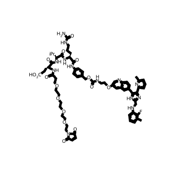 Cc1cccc(-c2nc(CNc3cccc(C)c3F)[nH]c2-c2ccc3ncc(OCCNC(=O)OCc4ccc(NC(=O)[C@H](CCCNC(N)=O)NC(=O)[C@@H](NC(=O)[C@H](CCC(=O)O)NC(=O)CCOCCOCCOCCOCCN5C(=O)C=CC5=O)C(C)C)cc4)cc3c2)n1